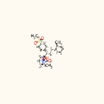 Cc1ccccc1CCC(c1ccc(S(C)(=O)=O)cc1)C1CC2C[N@+](C)(C1=O)N2O